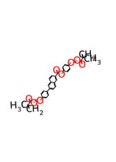 C=C(C)C(=O)OCOc1ccc(OC(=O)c2ccc3cc(-c4ccc(OCOC(=O)C(=C)C)cc4)ccc3c2)cc1